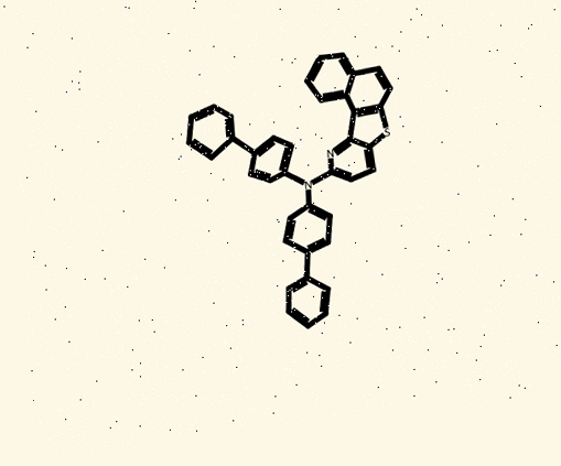 c1ccc(-c2ccc(N(c3ccc(-c4ccccc4)cc3)c3ccc4sc5ccc6ccccc6c5c4n3)cc2)cc1